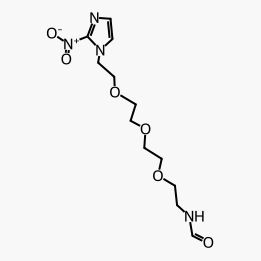 O=CNCCOCCOCCOCCn1ccnc1[N+](=O)[O-]